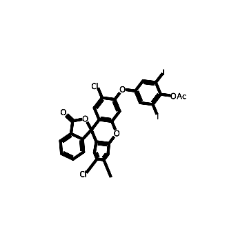 CC(=O)Oc1c(I)cc(Oc2cc3c(cc2Cl)C2(OC(=O)c4ccccc42)c2cc(Cl)c(C)cc2O3)cc1I